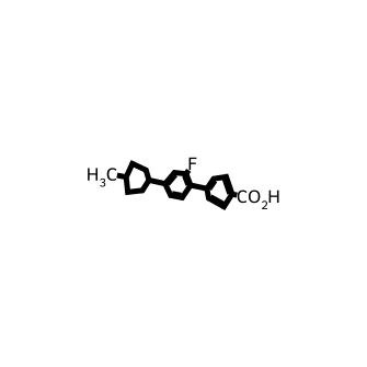 CC1CCC(c2ccc(-c3ccc(C(=O)O)cc3)c(F)c2)CC1